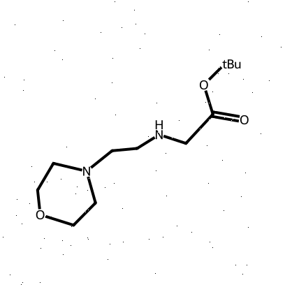 CC(C)(C)OC(=O)CNCCN1CCOCC1